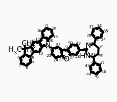 CC1(C)c2ccccc2-c2cc3c(cc21)c1ccccc1n3-c1ccc2oc3cc(C4=NC(c5ccccc5)CCC(c5ccccc5)N4)ccc3c2c1